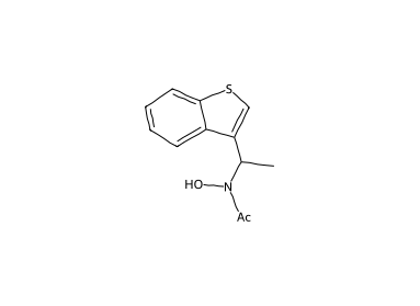 CC(=O)N(O)C(C)c1csc2ccccc12